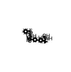 Cc1noc(-c2ccc(-c3ccc(C4(C(=N)NO)CC4)cc3)cc2)c1NC(=O)O[C@H](C)c1ccccc1